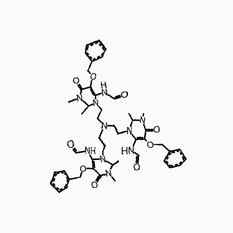 CC1N(C)C(=O)C(OCc2ccccc2)=C(NC=O)N1CCN(CCN1C(NC=O)=C(OCc2ccccc2)C(=O)N(C)C1C)CCN1C(NC=O)=C(OCc2ccccc2)C(=O)N(C)C1C